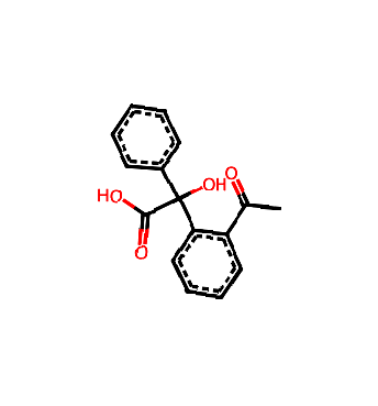 CC(=O)c1ccccc1C(O)(C(=O)O)c1ccccc1